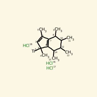 CC1=C[C](C)([Ti])C2=C1C(C)C(C)C(C)C2C.Cl.Cl.Cl